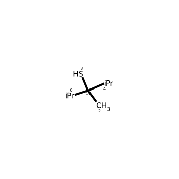 CC(C)C(C)(S)C(C)C